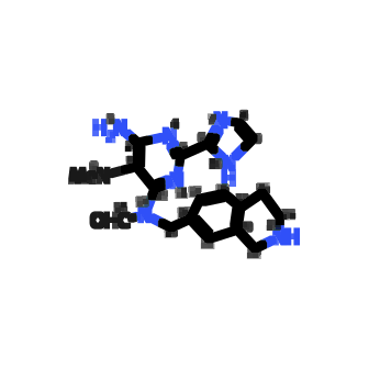 CNc1c(N)nc(-c2ncc[nH]2)nc1N(C=O)Cc1ccc2c(c1)CNCC2